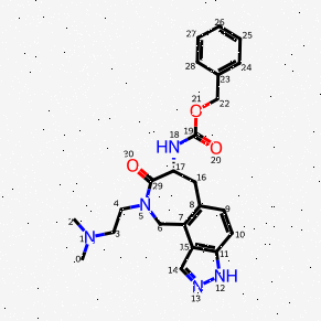 CN(C)CCN1Cc2c(ccc3[nH]ncc23)C[C@@H](NC(=O)OCc2ccccc2)C1=O